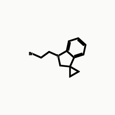 BrCCN1CC2(CC2)c2ccccc21